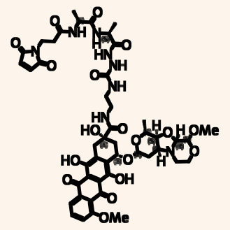 COc1cccc2c1C(=O)c1c(O)c3c(c(O)c1C2=O)C[C@@](O)(C(=O)NCCNC(=O)NNC(=O)[C@H](C)NC(=O)[C@H](C)NC(=O)CCN1C(=O)C=CC1=O)C[C@@H]3O[C@H]1C[C@H]2[C@H](O[C@@H]3[C@@H](OC)OCCN32)[C@H](C)O1